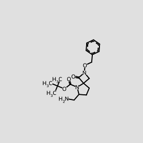 CC(C)(C)OC(=O)N1C(CN)CCC12CN(OCc1ccccc1)C2=O